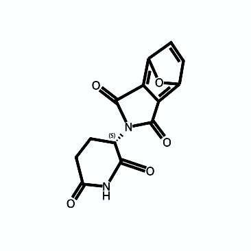 O=C1CC[C@H](N2C(=O)c3c(c4ccc3o4)C2=O)C(=O)N1